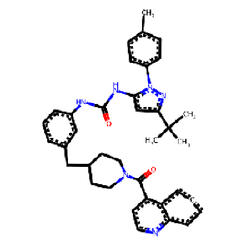 Cc1ccc(-n2nc(C(C)(C)C)cc2NC(=O)Nc2cccc(CC3CCN(C(=O)c4ccnc5ccccc45)CC3)c2)cc1